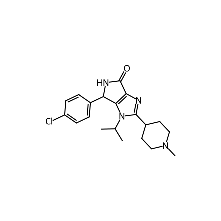 CC(C)n1c(C2CCN(C)CC2)nc2c1C(c1ccc(Cl)cc1)NC2=O